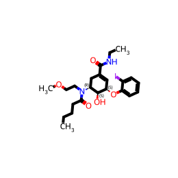 CCCCC(=O)N(CCOC)[C@@H]1CC(C(=O)NCC)=C[C@H](Oc2ccccc2I)[C@H]1O